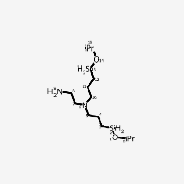 CC(C)O[SiH2]CCCN(CCN)CCC[SiH2]OC(C)C